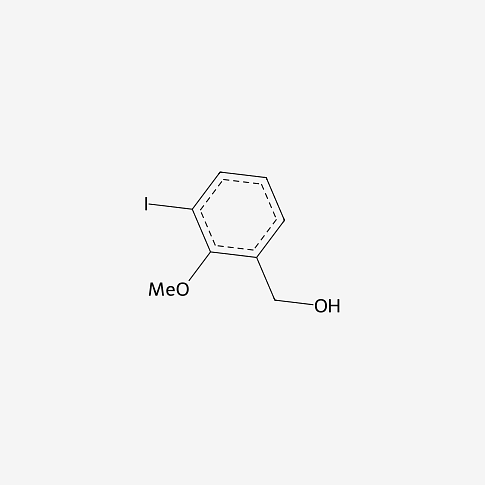 COc1c(I)cccc1CO